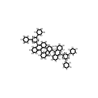 c1ccc(-c2nc(-c3ccccc3)nc(-c3c4ccccc4c(-c4cccc5c4oc4cccc(-c6c7ccccc7c(-c7nc(-c8ccccc8)nc(-c8ccccc8)n7)c7ccccc67)c45)c4ccccc34)n2)cc1